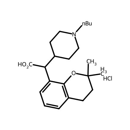 CCCCN1CCC(C(C(=O)O)c2cccc3c2OC(C)(C)CC3)CC1.Cl